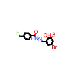 O=C(N/N=C/c1cc(Br)cc(Br)c1O)c1ccc(CF)cc1